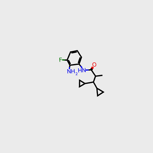 CC(C(=O)Nc1cccc(F)c1N)C(C1CC1)C1CC1